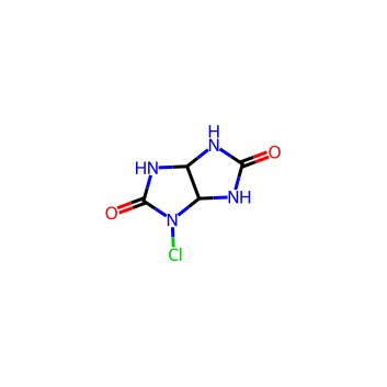 O=C1NC2NC(=O)N(Cl)C2N1